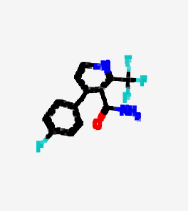 NC(=O)c1c(-c2ccc(F)cc2)ccnc1C(F)(F)F